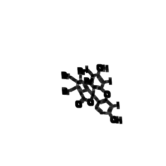 O=C1OC2(c3ccc(O)c(I)c3Oc3c2cc(I)c(O)c3I)c2c(Br)c(Br)c(Br)c(Br)c21